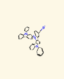 N#Cc1ccc2c(c1)c1ccc3c(c4ccccc4n3-c3ccccc3)c1n2-c1ccc2c3ccccc3n(-c3ccccc3)c2c1